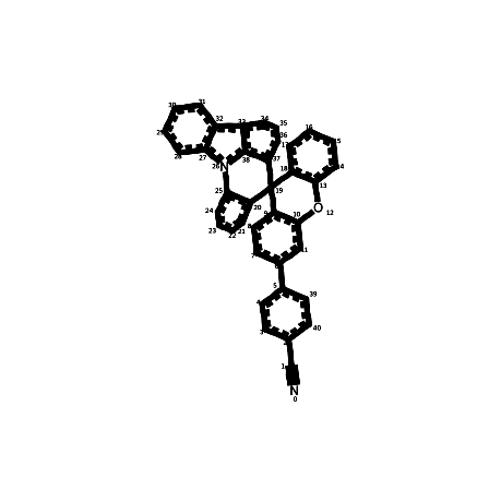 N#Cc1ccc(-c2ccc3c(c2)Oc2ccccc2C32c3ccccc3-n3c4ccccc4c4cccc2c43)cc1